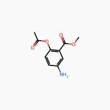 COC(=O)c1cc(N)ccc1OC(C)=O